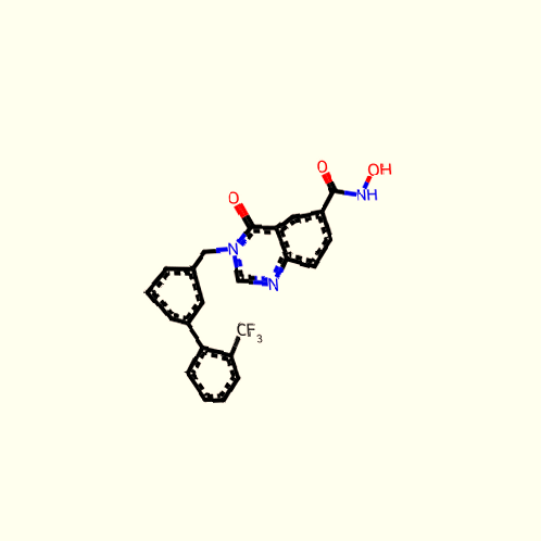 O=C(NO)c1ccc2ncn(Cc3cccc(-c4ccccc4C(F)(F)F)c3)c(=O)c2c1